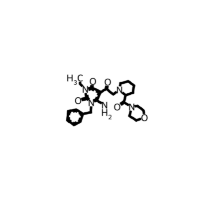 CCn1c(=O)c(C(=O)CN2CCCCC2C(=O)N2CCOCC2)c(N)n(Cc2ccccc2)c1=O